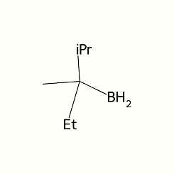 BC(C)(CC)C(C)C